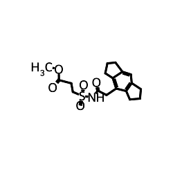 COC(=O)CCS(=O)(=O)NC(=O)Cc1c2c(cc3c1CCC3)CCC2